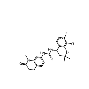 CN1C(=O)CCc2ccc(NC(=O)N[C@@H]3CC(C)(C)Oc4c3ccc(F)c4Cl)cc21